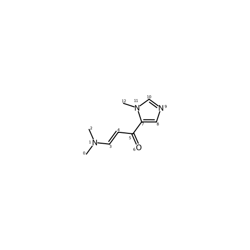 CN(C)C=CC(=O)c1cncn1C